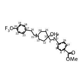 COC(=O)c1ccc(N(C)CC2(O)CCN(CCc3ccc(C(F)(F)F)cc3)CC2)cc1